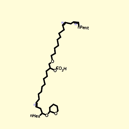 CCCCC/C=C\C/C=C\CCCCCCCCOCC(CCCCCCCC/C=C\CC(CCCCCC)OC1CCCCO1)OC(=O)O